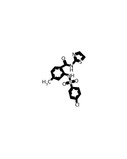 Cc1ccc(C(=O)Nc2nccs2)c(NS(=O)(=O)c2ccc(Cl)cc2)c1